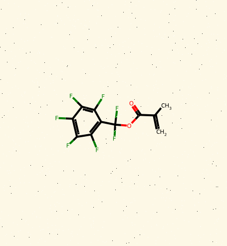 C=C(C)C(=O)OC(F)(F)c1c(F)c(F)c(F)c(F)c1F